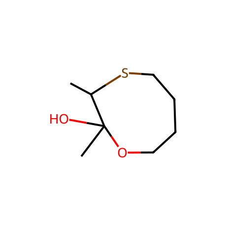 CC1SCCCCOC1(C)O